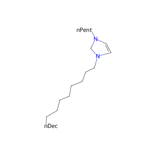 CCCCCCCCCCCCCCCCCCN1C=CN(CCCCC)C1